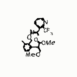 CO/C=C(/C(=O)OC)c1cccc(C)c1CO/N=C(\C)c1cccnc1C(F)(F)F